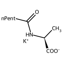 CCCCCC(=O)N[C@@H](C)C(=O)[O-].[K+]